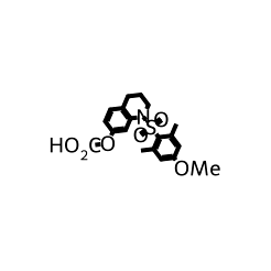 COc1cc(C)c(S(=O)(=O)N2CCCc3ccc(OC(=O)O)cc32)c(C)c1